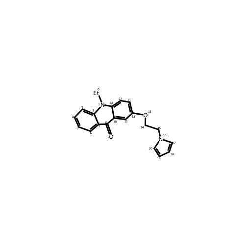 CCn1c2ccccc2c(=O)c2cc(OCCn3cccc3)ccc21